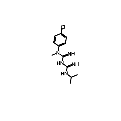 CC(C)NC(=N)NC(=N)N(C)c1ccc(Cl)cc1